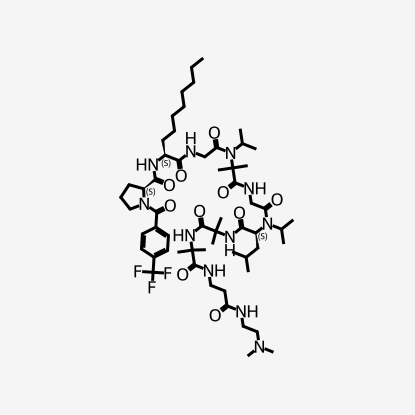 CCCCCCCC[C@H](NC(=O)[C@@H]1CCCN1C(=O)c1ccc(C(F)(F)F)cc1)C(=O)NCC(=O)N(C(C)C)C(C)(C)C(=O)NCC(=O)N(C(C)C)[C@@H](CC(C)C)C(=O)NC(C)(C)C(=O)NC(C)(C)C(=O)NCCC(=O)NCCN(C)C